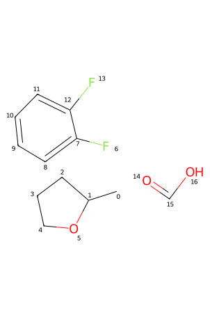 CC1CCCO1.Fc1ccccc1F.O=CO